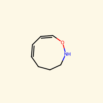 C1=CCCCNOC=C1